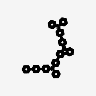 c1ccc(-c2ccc(-c3ccc(N(c4ccccc4)c4ccc(-c5ccc6c(c5)c5ccccc5n6-c5ccc(-c6ccc(N(c7ccccc7)c7ccccc7)cc6)cc5)cc4)cc3)cc2)cc1